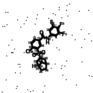 O=C(Nc1cc(F)c(F)c(F)c1)c1ccc(Cl)c(S(=O)(=O)[C@H]2CC3CC[C@@H](C2)C3=O)c1